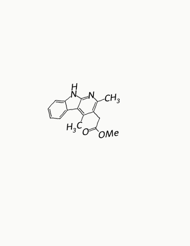 COC(=O)Cc1c(C)nc2[nH]c3ccccc3c2c1C